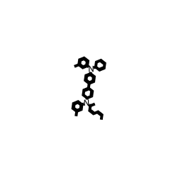 C/C=C\C=C/C(C)N(c1cccc(C)c1)C1C=CC(c2ccc(N(c3cccc(C)c3)C3C=CC=CC3)cc2)=CC1